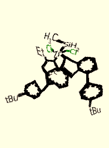 CCC1=Cc2c(-c3ccc(C(C)(C)C)cc3)cccc2[CH]1[Zr]([Cl])([Cl])([SiH2]C)[CH]1C(CC)=Cc2c(-c3ccc(C(C)(C)C)cc3)cccc21